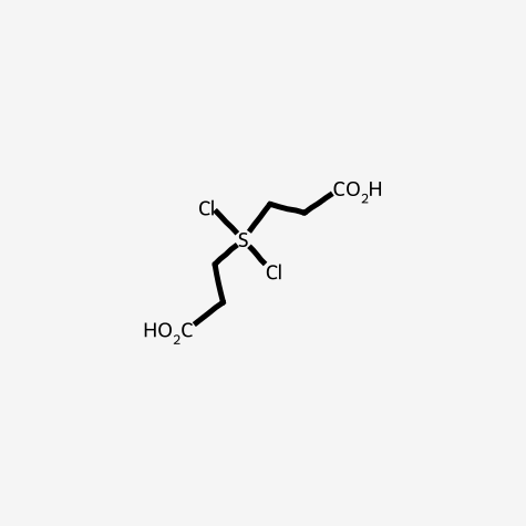 O=C(O)CCS(Cl)(Cl)CCC(=O)O